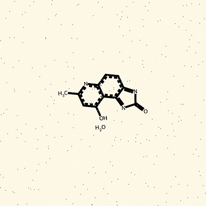 Cc1cc(O)c2c3c(ccc2n1)=NC(=O)N=3.O